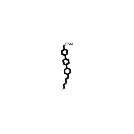 COCc1ccc(-c2ccc(C3CCC(C=CCCCF)CC3)cc2)cc1